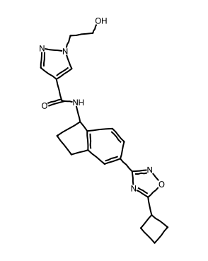 O=C(NC1CCc2cc(-c3noc(C4CCC4)n3)ccc21)c1cnn(CCO)c1